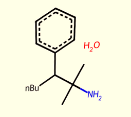 CCCCC(c1ccccc1)C(C)(C)N.O